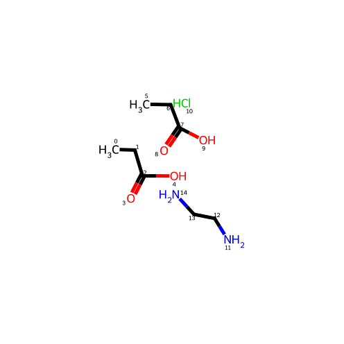 CCC(=O)O.CCC(=O)O.Cl.NCCN